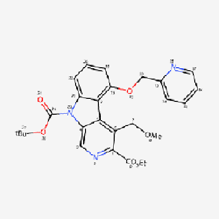 CCOC(=O)c1ncc2c(c1COC)c1c(OCc3ccccn3)cccc1n2C(=O)OC(C)(C)C